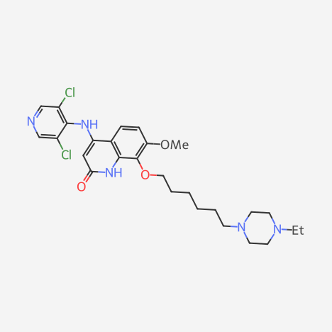 CCN1CCN(CCCCCCOc2c(OC)ccc3c(Nc4c(Cl)cncc4Cl)cc(=O)[nH]c23)CC1